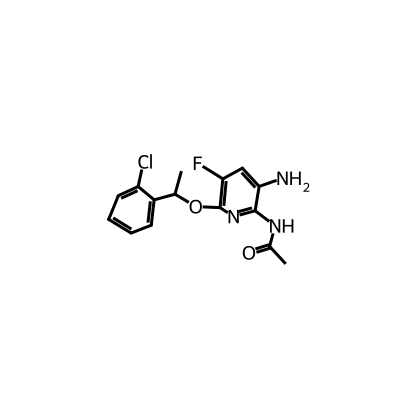 CC(=O)Nc1nc(OC(C)c2ccccc2Cl)c(F)cc1N